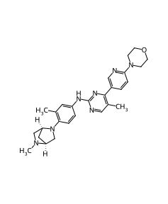 Cc1cc(Nc2ncc(C)c(-c3ccc(N4CCOCC4)nc3)n2)ccc1N1C[C@@H]2C[C@H]1CN2C